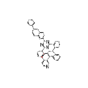 c1ccc(-c2ccc3cc(-c4nc(-c5ccccc5)nc(-c5ccccc5-c5cc6ccc7ccncc7c6c6ccccc56)n4)ccc3c2)cc1